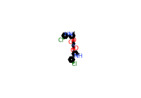 C[C@H]1C[C@@H](OC(=O)/C=C/C(=O)O[C@H]2C[C@@H](c3cccc(Cl)c3)N[C@@H](C)C2)C[C@@H](c2cccc(Cl)c2)N1